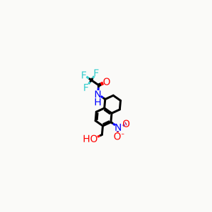 O=C(NC1CCCc2c1ccc(CO)c2[N+](=O)[O-])C(F)(F)F